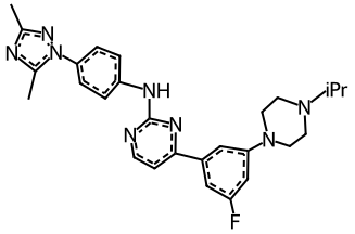 Cc1nc(C)n(-c2ccc(Nc3nccc(-c4cc(F)cc(N5CCN(C(C)C)CC5)c4)n3)cc2)n1